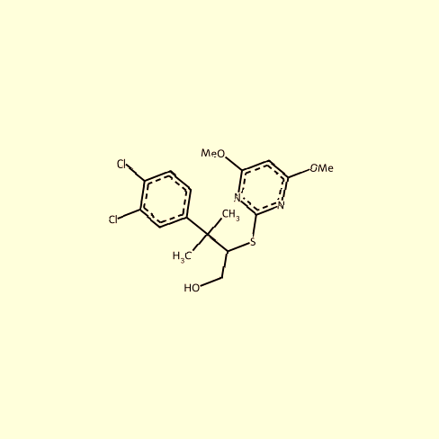 COc1cc(OC)nc(SC(CO)C(C)(C)c2ccc(Cl)c(Cl)c2)n1